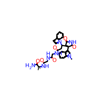 C[C@H](NC(=O)CNC(=O)CNC(=O)CC(C1=C(c2cn(C)c3ccccc23)C(=O)NC1=O)n1ccc2ccccc21)C(N)=O